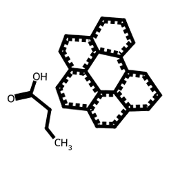 CCCC(=O)O.c1cc2ccc3ccc4ccc5cccc6c(c1)c2c3c4c56